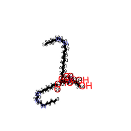 CCCCC/C=C\C/C=C\C/C=C\CCCCCCC(=O)OC[C@H](COP(=O)(O)OC[C@@H](O)CO)OC(=O)CCCCCCCCCCC/C=C\C/C=C\CCCCC